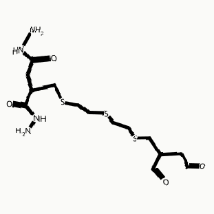 NNC(=O)CC(CSCCSCCSCC(C=O)CC=O)C(=O)NN